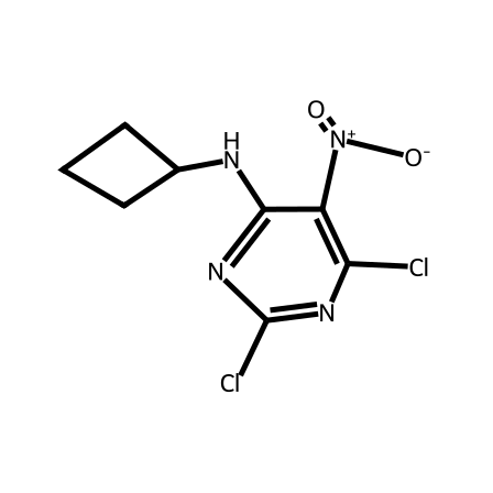 O=[N+]([O-])c1c(Cl)nc(Cl)nc1NC1CCC1